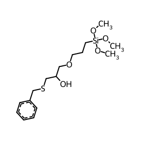 CO[Si](CCCOCC(O)CSCc1ccccc1)(OC)OC